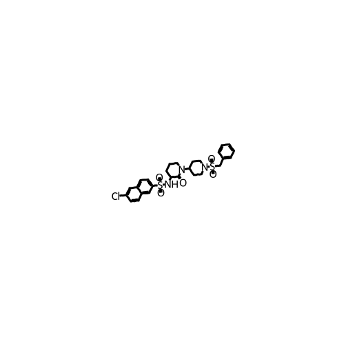 O=C1C(NS(=O)(=O)c2ccc3cc(Cl)ccc3c2)CCCN1C1CCN(S(=O)(=O)Cc2ccccc2)CC1